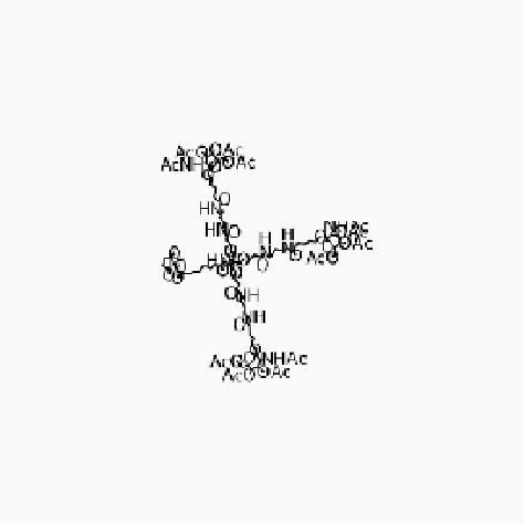 CC(=O)N[C@H]1[C@H](OCCCCC(=O)NCCCNC(=O)CCOCC(COCCC(=O)NCCCNC(=O)CCCCO[C@@H]2O[C@H](COC(C)=O)[C@H](OC(C)=O)[C@H](OC(C)=O)[C@H]2NC(C)=O)(COCCC(=O)NCCCNC(=O)CCCCO[C@@H]2O[C@H](COC(C)=O)[C@H](OC(C)=O)[C@H](OC(C)=O)[C@H]2NC(C)=O)NC(=O)CCCCCCC(=O)ON2C(=O)CCC2=O)O[C@H](COC(C)=O)[C@H](OC(C)=O)[C@@H]1OC(C)=O